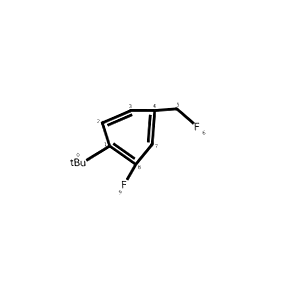 CC(C)(C)c1ccc(CF)cc1F